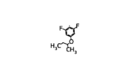 CCC(C)Oc1cc(F)[c]c(F)c1